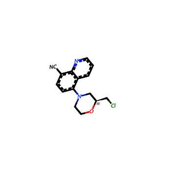 N#Cc1ccc(N2CCO[C@H](CCl)C2)c2cccnc12